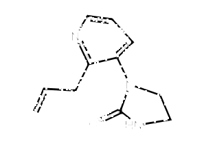 C=CCc1ncccc1N1CCNC1=O